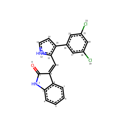 O=C1Nc2ccccc2C1=Cc1[nH]ccc1-c1cc(Cl)cc(Cl)c1